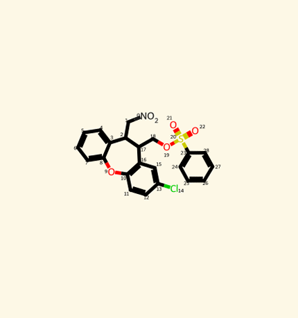 O=[N+]([O-])CC1c2ccccc2Oc2ccc(Cl)cc2C1COS(=O)(=O)c1ccccc1